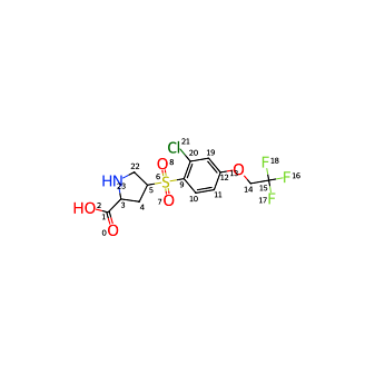 O=C(O)C1CC(S(=O)(=O)c2ccc(OCC(F)(F)F)cc2Cl)CN1